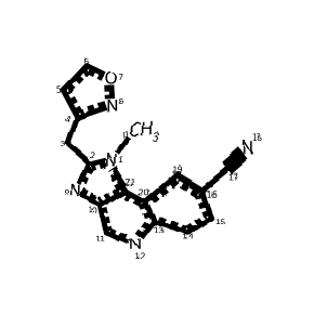 Cn1c(Cc2ccon2)nc2cnc3ccc(C#N)cc3c21